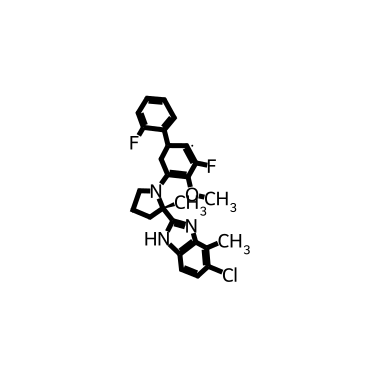 COC1=C(N2CCC[C@@]2(C)c2nc3c(C)c(Cl)ccc3[nH]2)CC(c2ccccc2F)[C]=C1F